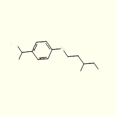 CCC(S)CCNc1ccc(C(C)C)cc1